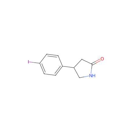 O=C1CC(c2ccc(I)cc2)CN1